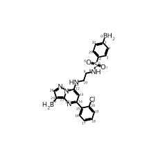 Bc1ccc(S(=O)(=O)NCCNc2cc(-c3ccccc3Cl)nc3c(B)cnn23)cc1